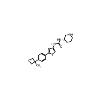 CC1(c2ccc(-c3nc(NC(=O)N[C@H]4CCCNC4)cs3)cc2)COC1